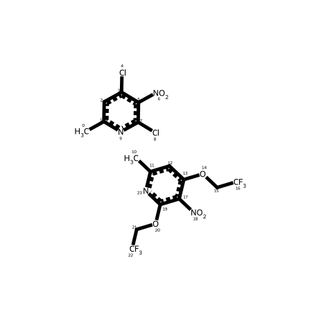 Cc1cc(Cl)c([N+](=O)[O-])c(Cl)n1.Cc1cc(OCC(F)(F)F)c([N+](=O)[O-])c(OCC(F)(F)F)n1